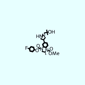 COC(=O)N1c2ccc(C3CNN(CC(C)(C)O)C3)cc2N(C(=O)Oc2ccc(F)cc2)C[C@@H]1C